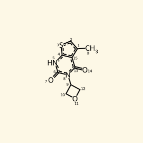 Cc1csc2[nH]c(=O)n(C3COC3)c(=O)c12